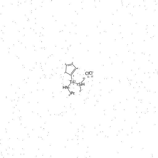 CC(C)[NH][Ti+2]([C]1=CC=CC1)[SiH](C)C.[Cl-].[Cl-]